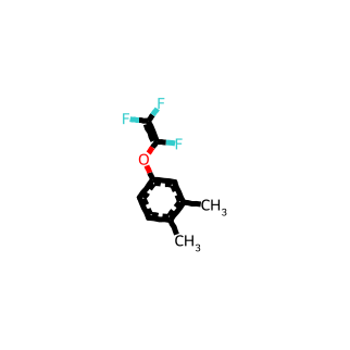 Cc1ccc(OC(F)=C(F)F)cc1C